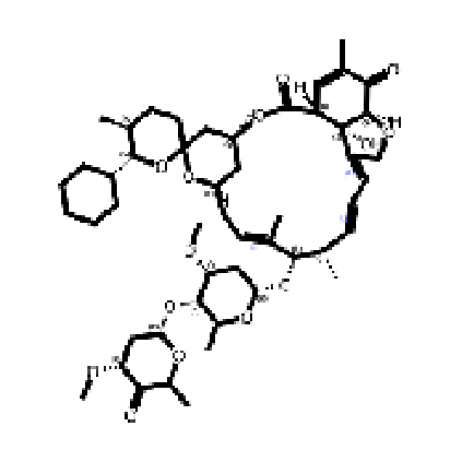 CO[C@@H]1C[C@H](O[C@H]2C(C)O[C@@H](O[C@@H]3/C(C)=C/C[C@@H]4C[C@@H](CC5(CC[C@H](C)[C@@H](C6CCCCC6)O5)O4)OC(=O)[C@@H]4C=C(C)C(=O)[C@H]5OC/C(=C\C=C\[C@@H]3C)[C@]54O)C[C@H]2OC)OC(C)C1=O